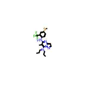 CCCN(CCC)c1c(C)c(Nc2ccc(SC)cc2C(F)(F)F)nc2ccnn12